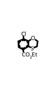 CCOC(=O)c1ccc(Cl)c2c1SCCO2